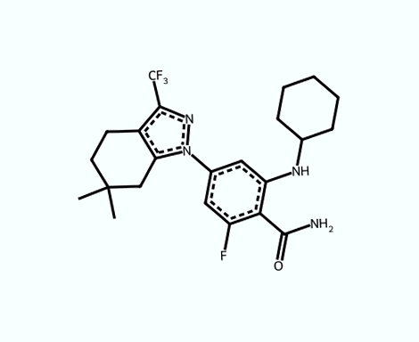 CC1(C)CCc2c(C(F)(F)F)nn(-c3cc(F)c(C(N)=O)c(NC4CCCCC4)c3)c2C1